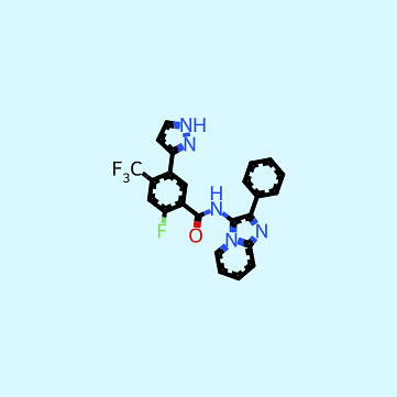 O=C(Nc1c(-c2ccccc2)nc2ccccn12)c1cc(-c2cc[nH]n2)c(C(F)(F)F)cc1F